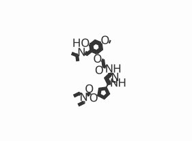 CCN(CC)C(=O)O[C@@H]1CC[C@H](c2cc(NC(=O)COc3cc(OC)cc(O)c3/C=N/C(C)C)n[nH]2)C1